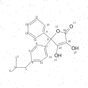 CC(C)Cc1ccc(C2(c3ccccc3)OC(=O)C(O)=C2O)cc1